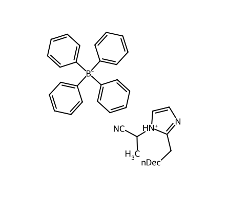 CCCCCCCCCCCC1=NC=C[NH+]1C(C)C#N.c1ccc([B-](c2ccccc2)(c2ccccc2)c2ccccc2)cc1